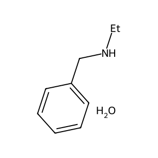 CCNCc1ccccc1.O